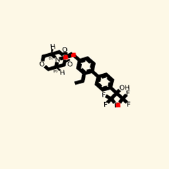 CCc1cc(CN2C[C@H]3COC[C@@H](C2)N3S(C)(=O)=O)ccc1-c1ccc(C(O)(C(F)(F)F)C(F)(F)F)cc1